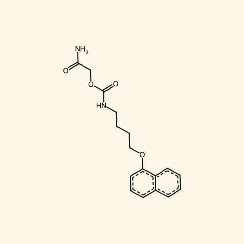 NC(=O)COC(=O)NCCCCOc1cccc2ccccc12